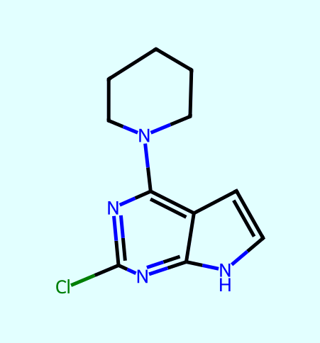 Clc1nc(N2CCCCC2)c2cc[nH]c2n1